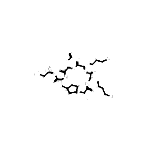 C=CC[C@H](NC(=O)[C@H](CCCCN)NC(=O)[C@H](CCCCN)NC(=O)[C@H](C)N)C(=O)N[C@@H](CC1CCCC1)C(=O)N[C@@H](CC(C)C)C(=O)O